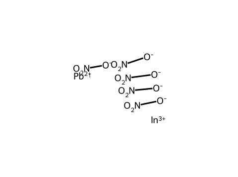 O=[N+]([O-])[O-].O=[N+]([O-])[O-].O=[N+]([O-])[O-].O=[N+]([O-])[O-].O=[N+]([O-])[O-].[In+3].[Pb+2]